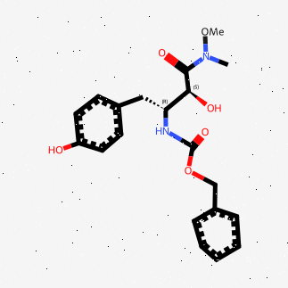 CON(C)C(=O)[C@@H](O)[C@@H](Cc1ccc(O)cc1)NC(=O)OCc1ccccc1